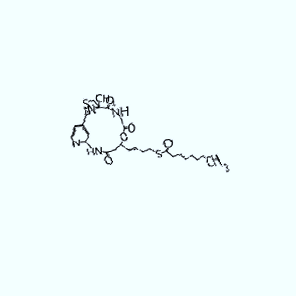 CCCCCCCC(=O)SCC/C=C/C1CC(=O)NCc2cc(ccn2)C2=NC(C)(CS2)C(=O)NCC(=O)O1